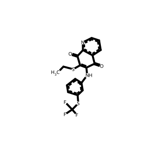 CCSC1=C(Nc2cccc(SC(F)(F)F)c2)C(=O)c2cccnc2C1=O